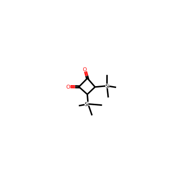 C[Si](C)(C)C1C(=O)C(=O)C1[Si](C)(C)C